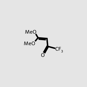 COC(=CC(=O)C(F)(F)F)OC